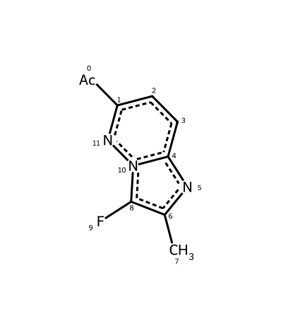 CC(=O)c1ccc2nc(C)c(F)n2n1